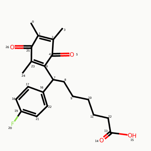 CC1=C(C)C(=O)C(C(CCCCCC(=O)O)c2ccc(F)cc2)=C(C)C1=O